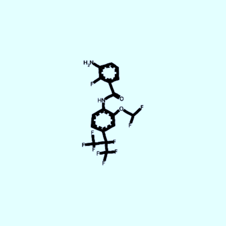 Nc1cccc(C(=O)Nc2ccc(C(F)(C(F)(F)F)C(F)(F)F)cc2OC(F)F)c1F